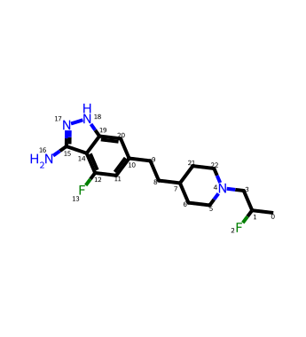 CC(F)CN1CCC(CCc2cc(F)c3c(N)n[nH]c3c2)CC1